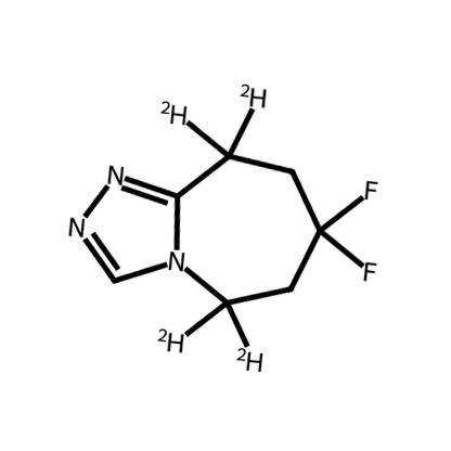 [2H]C1([2H])CC(F)(F)CC([2H])([2H])n2cnnc21